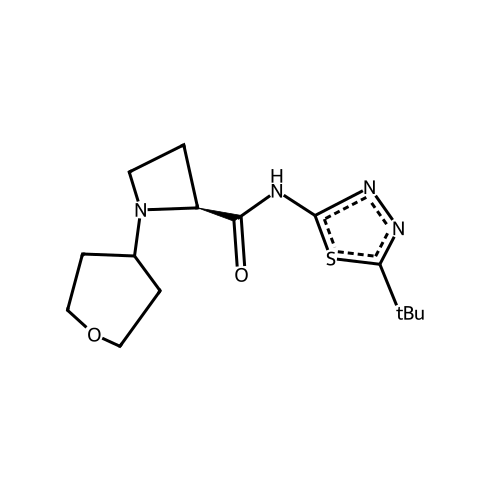 CC(C)(C)c1nnc(NC(=O)[C@@H]2CCN2C2CCOCC2)s1